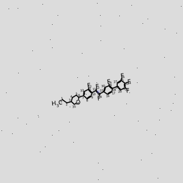 CCCC1CCC(c2ccc(/C(F)=C(\F)c3ccc(-c4cc(F)c(F)c(F)c4)c(F)c3)c(F)c2)OC1